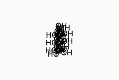 O=C(O)C1=CC(O)C(O)C(OC2C(O)C(CO)OC(OC3C(O)C(CO)OC(OC(CO)C(=O)O)C3O)C2O)O1